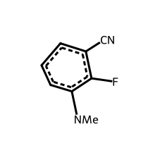 CNc1cccc(C#N)c1F